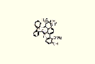 COc1c(O)ccc2c1-c1ccc3c(c1/C(=C/c1ccccc1-c1ccccc1)O2)C(C)=CC(C)(C)N3